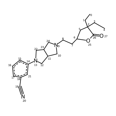 CCC1(CC)CC(CCN2CC3CN(c4cccc(C#N)c4)CC3C2)OC1=O